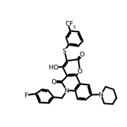 O=c1oc2c(c(O)c1Sc1cccc(C(F)(F)F)c1)c(=O)n(Cc1ccc(F)cc1)c1ccc(N3CCCCC3)cc21